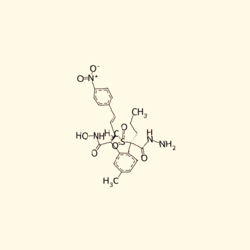 CCC[C@](C(=O)NN)(c1ccc(C)cc1[C@H](C/C=C/c1ccc([N+](=O)[O-])cc1)C(=O)NO)S(C)(=O)=O